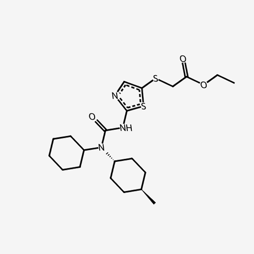 CCOC(=O)CSc1cnc(NC(=O)N(C2CCCCC2)[C@H]2CC[C@H](C)CC2)s1